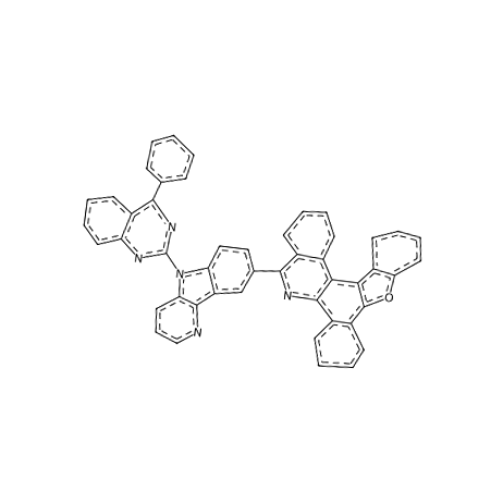 c1ccc(-c2nc(-n3c4ccc(-c5nc6c7ccccc7c7oc8ccccc8c7c6c6ccccc56)cc4c4ncccc43)nc3ccccc23)cc1